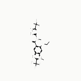 CCSc1cc2c(cc1C(=O)N(C)c1nnc(C(F)(F)F)s1)nc(C(F)(F)F)n2C